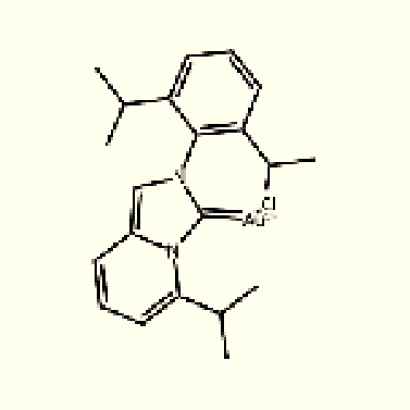 CC(C)c1cccc(C(C)C)c1-n1cc2cccc(C(C)C)n2[c]1=[Au-2][Cl]